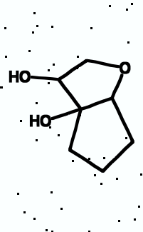 OC1COC2CCCC12O